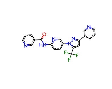 O=C(Nc1ccc(-n2nc(-c3cccnc3)cc2C(F)(F)F)cn1)c1cccnc1